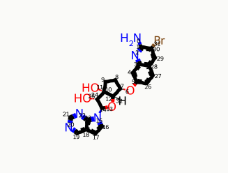 Nc1nc2cc(O[C@H]3CC[C@@]4(O)[C@@H]3O[C@@H](n3ccc5cncnc53)[C@@H]4O)ccc2cc1Br